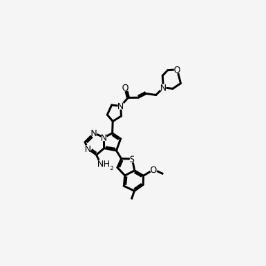 COc1cc(C)cc2cc(-c3cc(C4CCN(C(=O)/C=C/CN5CCOCC5)C4)n4ncnc(N)c34)sc12